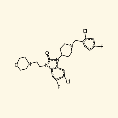 O=c1n(CCN2CCOCC2)c2cc(F)c(Cl)cc2n1C1CCN(Cc2ccc(F)cc2Cl)CC1